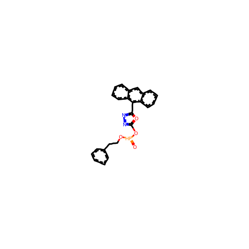 O=[PH](OCCc1ccccc1)Oc1nnc(-c2c3ccccc3cc3ccccc23)o1